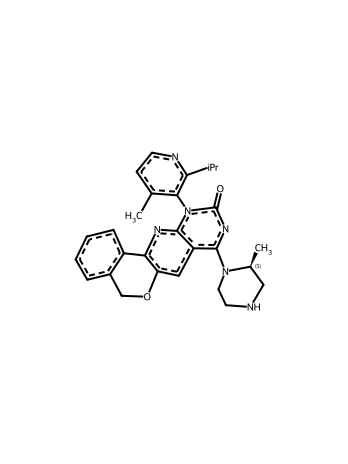 Cc1ccnc(C(C)C)c1-n1c(=O)nc(N2CCNC[C@@H]2C)c2cc3c(nc21)-c1ccccc1CO3